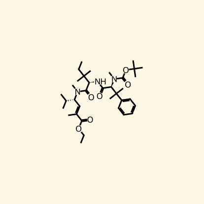 CCOC(=O)/C(C)=C/[C@H](C(C)C)N(C)C(=O)[C@@H](NC(=O)[C@@H](N(C)C(=O)OC(C)(C)C)C(C)(C)c1ccccc1)C(C)(C)CC